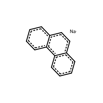 [Na].c1ccc2c(c1)ccc1ccccc12